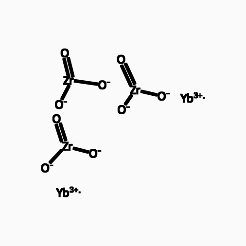 [O]=[Zr]([O-])[O-].[O]=[Zr]([O-])[O-].[O]=[Zr]([O-])[O-].[Yb+3].[Yb+3]